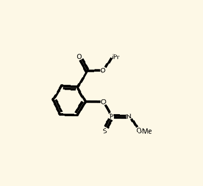 CO/N=P(=S)/Oc1ccccc1C(=O)OC(C)C